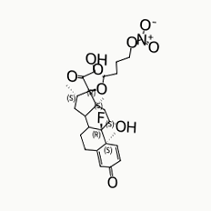 C[C@H]1CC2C3CCC4=CC(=O)C=C[C@]4(C)[C@@]3(F)[C@@H](O)C[C@]2(C)[C@@]1(OC(=O)CCCO[N+](=O)[O-])C(=O)CO